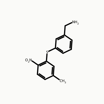 Cc1ccc([N+](=O)[O-])c(Sc2cccc(CN)c2)c1